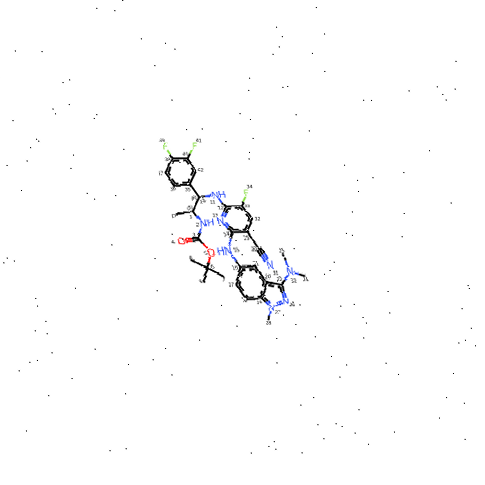 C[C@H](NC(=O)OC(C)(C)C)[C@H](Nc1nc(Nc2ccc3c(c2)c(N(C)C)nn3C)c(C#N)cc1F)c1ccc(F)c(F)c1